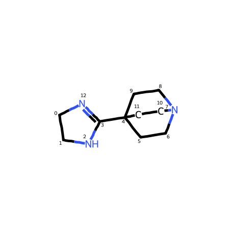 C1CNC(C23CCN(CC2)CC3)=N1